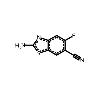 N#Cc1cc2sc(N)nc2cc1F